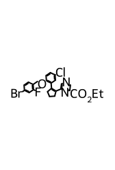 CCOC(=O)c1cncc(C2=C(c3cc(Cl)ccc3OCc3ccc(Br)cc3F)CCC2)n1